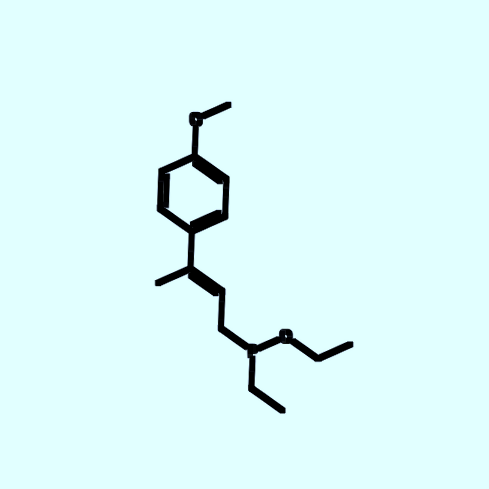 CCOP(CC)CC=C(C)c1ccc(OC)cc1